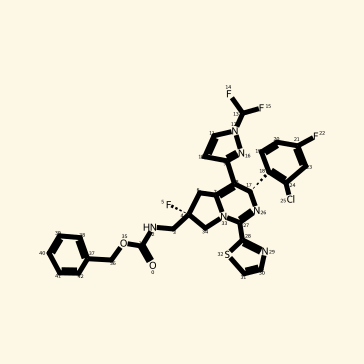 O=C(NC[C@@]1(F)CC2=C(c3ccn(C(F)F)n3)[C@H](c3ccc(F)cc3Cl)N=C(c3nccs3)N2C1)OCc1ccccc1